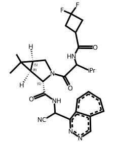 CC(C)C(NC(=O)C1CC(F)(F)C1)C(=O)N1C[C@H]2[C@@H]([C@H]1C(=O)NC(C#N)c1nncc3ccccc13)C2(C)C